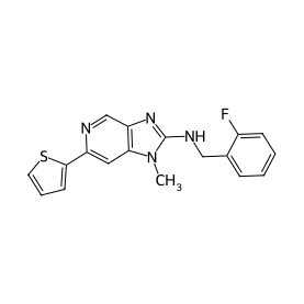 Cn1c(NCc2ccccc2F)nc2cnc(-c3cccs3)cc21